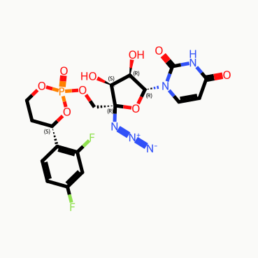 [N-]=[N+]=N[C@]1(COP2(=O)OCC[C@@H](c3ccc(F)cc3F)O2)O[C@@H](n2ccc(=O)[nH]c2=O)[C@H](O)[C@@H]1O